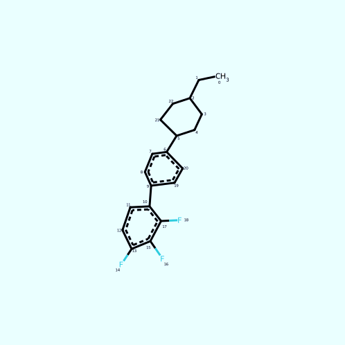 CCC1CCC(c2ccc(-c3ccc(F)c(F)c3F)cc2)CC1